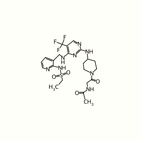 CCS(=O)(=O)Nc1ncccc1CNc1nc(NC2CCN(C(=O)CNC(C)=O)CC2)ncc1C(F)(F)F